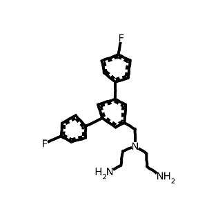 NCCN(CCN)Cc1cc(-c2ccc(F)cc2)cc(-c2ccc(F)cc2)c1